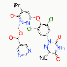 CC(C)c1cc(Oc2c(Cl)cc(-n3nc(C#N)c(=O)[nH]c3=O)cc2Cl)nn(COC(=O)c2cncnc2)c1=O